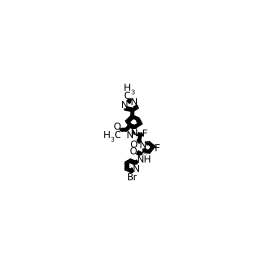 CC(=O)c1nn(C(F)C(=O)N2C[C@H](F)C[C@H]2C(=O)Nc2cccc(Br)n2)c2ccc(-c3cnc(C)nc3)cc12